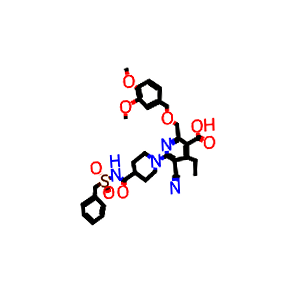 CCc1c(C#N)c(N2CCC(C(=O)NS(=O)(=O)Cc3ccccc3)CC2)nc(COCc2ccc(OC)c(OC)c2)c1C(=O)O